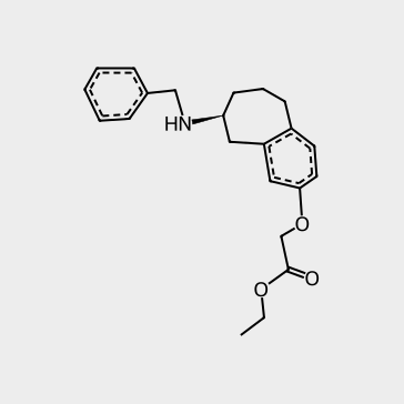 CCOC(=O)COc1ccc2c(c1)C[C@@H](NCc1ccccc1)CCC2